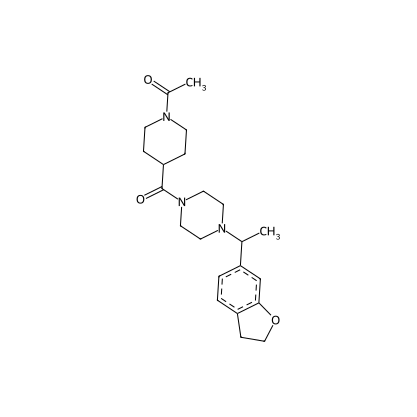 CC(=O)N1CCC(C(=O)N2CCN(C(C)c3ccc4c(c3)OCC4)CC2)CC1